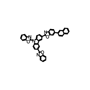 c1ccc2cc(-c3ccc4nc(-c5ccc6c(c5)c5cc(-c7nc8ccccc8o7)ccc5n6-c5nc6ccccc6o5)oc4c3)ccc2c1